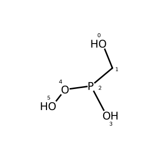 OCP(O)OO